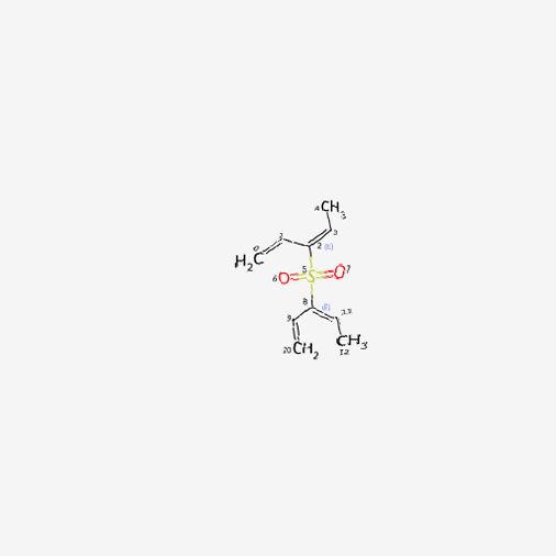 C=C/C(=C\C)S(=O)(=O)/C(C=C)=C/C